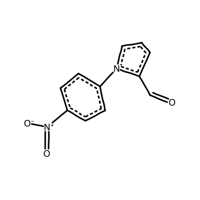 O=Cc1cccn1-c1ccc([N+](=O)[O-])cc1